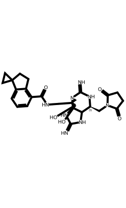 N=C1NC2[C@H](CN3C(=O)CCC3=O)NC(=N)N3CC(NC(=O)c4cccc5c4CCC54CC4)C(O)(O)C23N1